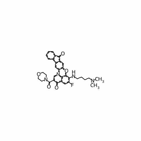 CN(C)CCCCNc1c(F)cc2c(=O)c(C(=O)N3CCOCC3)cn3c4cc5c(cc4oc1c23)c(=O)c1ccccc15